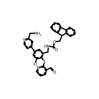 NCc1cc(-c2cc(Cl)c(Sc3ncccc3C=O)c(CNC(=O)OCC3c4ccccc4-c4ccccc43)c2)ccn1